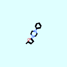 Cc1ccc(N2CCN(c3ccccc3)CC2)o1